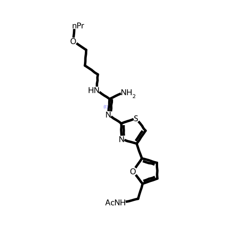 CCCOCCCN/C(N)=N/c1nc(-c2ccc(CNC(C)=O)o2)cs1